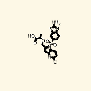 CC(OCc1cc2nc(Cl)ccc2n1S(=O)(=O)c1ccc2nc(N)sc2c1)C(=O)O